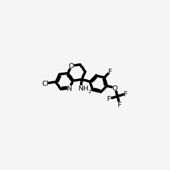 NC1(c2ccc(OC(F)(F)F)c(F)c2)CCOc2cc(Cl)cnc21